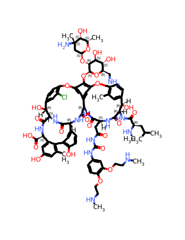 CNCCOc1ccc(NC(=O)NC(=O)C[C@@H]2NC(=O)[C@H](NC(=O)[C@@H](CC(C)C)NC)[C@H](O)c3ccc(c(C)c3)Oc3cc4cc(c3O[C@@H]3O[C@H](CN)[C@@H](O)[C@H](O)[C@H]3O[C@H]3C[C@](C)(N)[C@H](O)[C@H](C)O3)Oc3ccc(cc3Cl)[C@@H](O)[C@@H]3NC(=O)[C@H](NC(=O)[C@@H]4NC2=O)c2ccc(O)c(c2)-c2c(C)cc(O)cc2[C@@H](C(=O)O)NC3=O)cc1OCCNC